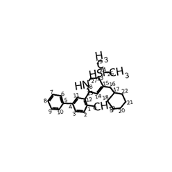 Cc1ccc(-c2ccccc2)cc1C1C=C(CC2CCCCC2)C([SiH](C)C)CN1